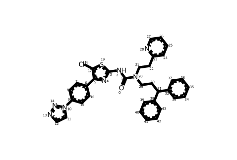 O=C(Nc1nc(-c2ccc(-n3ccnn3)cc2)c(Cl)s1)N(CCc1ccccn1)CCC(c1ccccc1)c1ccccc1